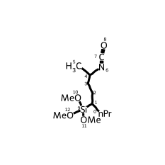 CCCC(CCC(C)N=C=O)[Si](OC)(OC)OC